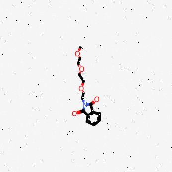 COCCOCCOCCN1C(=O)c2ccccc2C1=O